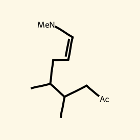 CN/C=C\CC(C)C(C)CC(C)=O